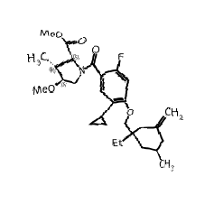 C=C1CC(C)CC(CC)(COc2cc(F)c(C(=O)N3C[C@@H](OC)[C@H](C)[C@H]3C(=O)OC)cc2C2CC2)C1